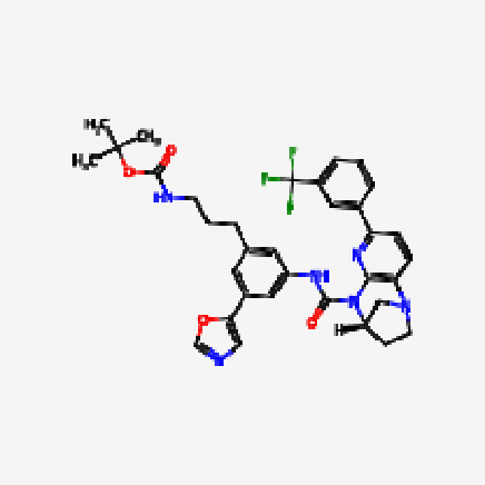 CC(C)(C)OC(=O)NCCCc1cc(NC(=O)N2c3nc(-c4cccc(C(F)(F)F)c4)ccc3N3CC[C@H]2C3)cc(-c2cnco2)c1